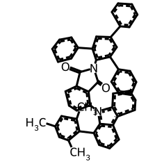 Cc1cc(C)c(-c2cccc3c4ccccc4n(-c4cccc5c4C(=O)N(c4c(-c6ccccc6)cc(-c6ccccc6)cc4-c4ccccc4)C5=O)c23)c(C)c1